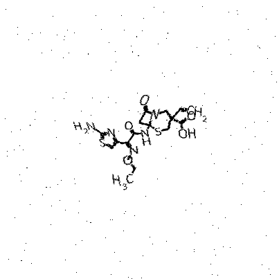 C=CC1(C(=O)O)CS[C@]2(NC(=O)C(=NOCC)c3csc(N)n3)CC(=O)N2C1